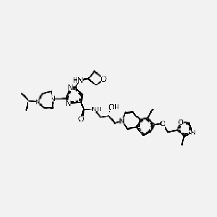 Cc1ncoc1COc1ccc2c(c1C)CCN(C[C@@H](O)CNC(=O)c1cc(NC3COC3)nc(N3CCN(C(C)C)CC3)n1)C2